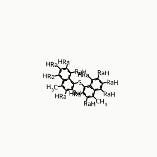 Cc1[c]([RaH])[c]([RaH])c(Sc2[c]([RaH])[c]([RaH])c(C)c3[c]([RaH])[c]([RaH])[c]([RaH])[c]([RaH])c23)c2[c]([RaH])[c]([RaH])[c]([RaH])[c]([RaH])c12